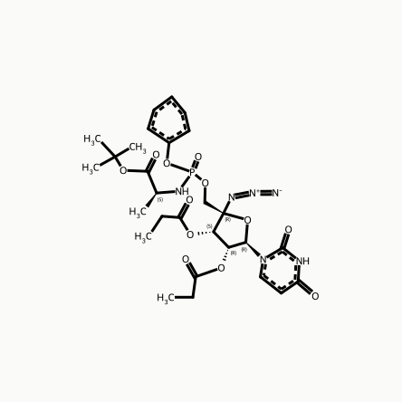 CCC(=O)O[C@H]1[C@H](n2ccc(=O)[nH]c2=O)O[C@@](COP(=O)(N[C@@H](C)C(=O)OC(C)(C)C)Oc2ccccc2)(N=[N+]=[N-])[C@H]1OC(=O)CC